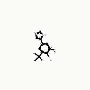 CC(C)(C)c1cc(-c2cscn2)cc(Cl)c1F